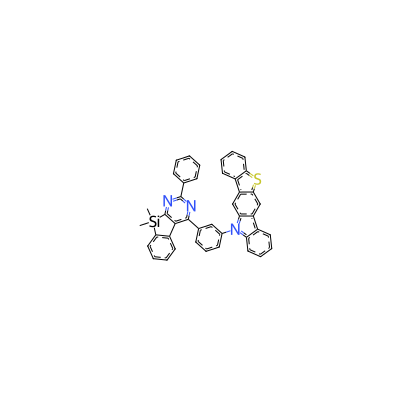 C[Si]1(C)c2ccccc2-c2c(-c3cccc(-n4c5ccccc5c5cc6sc7ccccc7c6cc54)c3)nc(-c3ccccc3)nc21